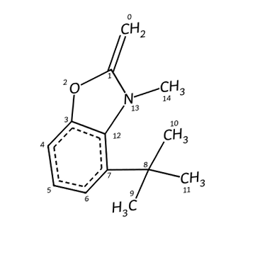 C=C1Oc2cccc(C(C)(C)C)c2N1C